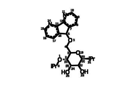 CC(C)O[C@@H]1C(COC2c3cccnc3-c3ncccc32)O[C@@H](C(C)C)C(O)[C@H]1O